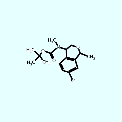 CC1OCC(N(C)C(=O)OC(C)(C)C)c2ccc(Br)cc21